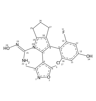 Cc1noc(C)c1-c1c(-c2c(F)cc(O)cc2Cl)c2c(n1/C(N)=N/O)CCC2